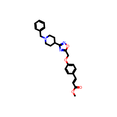 COC(=O)C=Cc1ccc(OCc2nc(C3CCN(Cc4ccccc4)CC3)no2)cc1